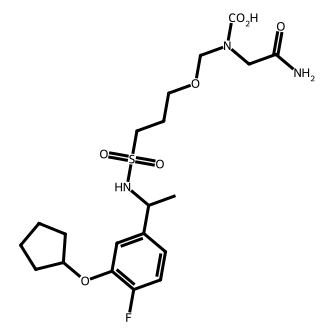 CC(NS(=O)(=O)CCCOCN(CC(N)=O)C(=O)O)c1ccc(F)c(OC2CCCC2)c1